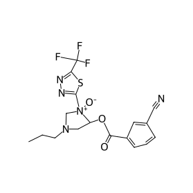 CCCN1CC(OC(=O)c2cccc(C#N)c2)[N+]([O-])(c2nnc(C(F)(F)F)s2)C1